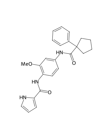 COc1cc(NC(=O)C2(c3ccccc3)CCCC2)ccc1NC(=O)c1ccc[nH]1